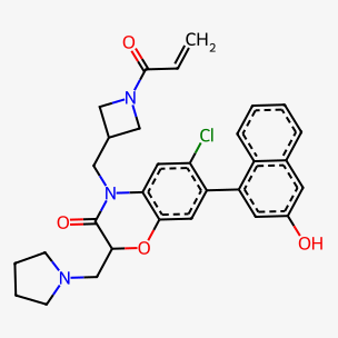 C=CC(=O)N1CC(CN2C(=O)C(CN3CCCC3)Oc3cc(-c4cc(O)cc5ccccc45)c(Cl)cc32)C1